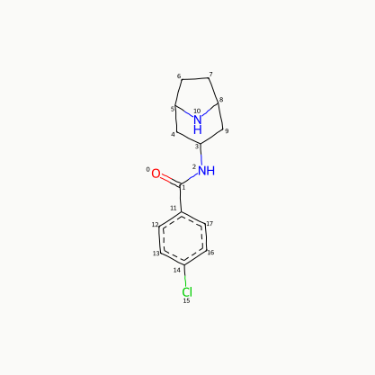 O=C(NC1CC2CCC(C1)N2)c1ccc(Cl)cc1